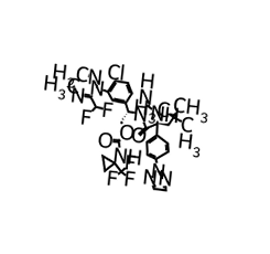 C=NN(/C(=N\C)C(F)F)c1cc([C@@H](COC(=O)NC2(C(F)(F)F)CC2)N2C(=N)N[C@](CC(C)(C)C)(c3ccc(-n4nccn4)cc3)C2=O)ccc1Cl